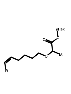 CC/C=C\CCCCOC(CC)C(=O)OCCCCCC